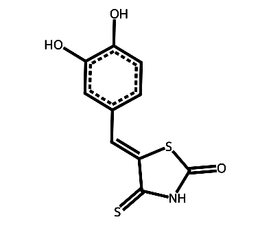 O=C1NC(=S)/C(=C/c2ccc(O)c(O)c2)S1